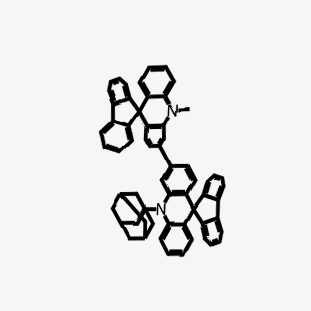 CN1c2ccccc2C2(c3ccccc3-c3ccccc32)c2ccc(-c3ccc4c(c3)N(C35CC6CC(CC(C6)C3)C5)c3ccccc3C43c4ccccc4-c4ccccc43)cc21